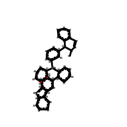 CC1C=Cc2ccccc2C1c1cccc(N(c2ccccc2)c2ccccc2-c2ccc3sc4ccccc4c3c2)c1